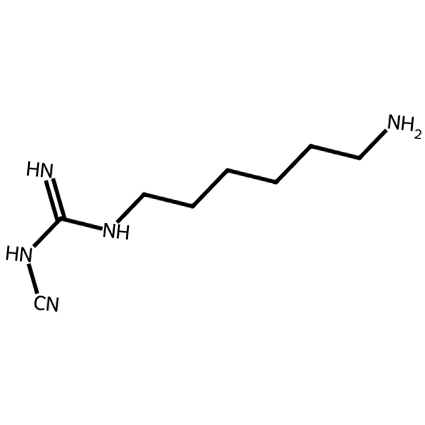 N#CNC(=N)NCCCCCCN